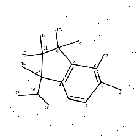 Cc1ccc2c(c1C)C(C)(C)C(C)(C)C2(C)C(C)C